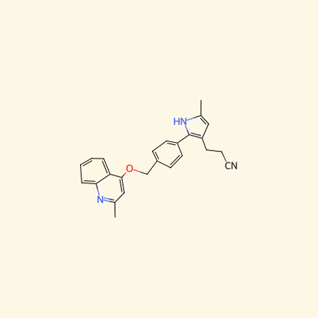 Cc1cc(OCc2ccc(-c3[nH]c(C)cc3CCC#N)cc2)c2ccccc2n1